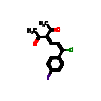 CC(=O)C(=C/C=C(/Cl)c1ccc(I)cc1)C(C)=O